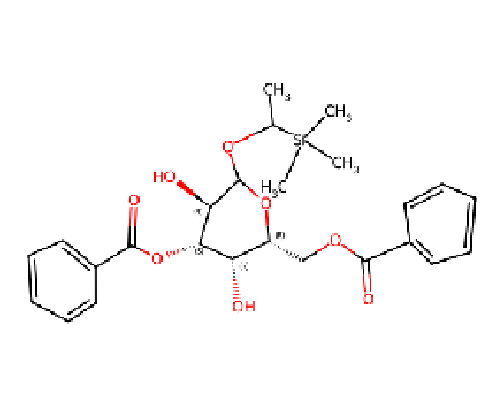 CC(OC1O[C@H](COC(=O)c2ccccc2)[C@H](O)[C@H](OC(=O)c2ccccc2)[C@H]1O)[Si](C)(C)C